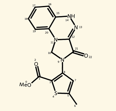 COC(=O)c1sc(C)cc1N1CN2C(=NNc3ccccc32)C1=O